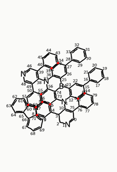 C1=NCC(c2ccccc2)C(N2c3ccc(-c4ccccc4)cc3B3c4cc(-c5ccccc5)ccc4N(c4c(-c5ccccc5)cncc4-c4ccccc4)c4cc(-n5c6ccccc6c6ccccc65)cc2c43)=C1c1ccccc1